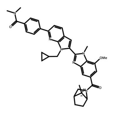 COc1cc(C(=O)N2CC3CCC2[C@@H]3C)cc2nc(-c3cc4ccc(-c5ccc(C(=O)N(C)C)cc5)nc4n3CC3CC3)n(C)c12